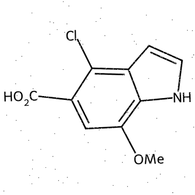 COc1cc(C(=O)O)c(Cl)c2cc[nH]c12